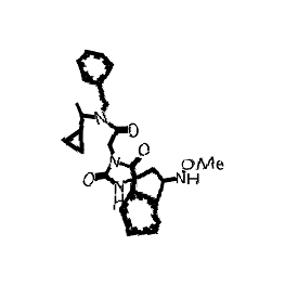 CONC1CC2(NC(=O)N(CC(=O)N(Cc3ccccc3)C(C)C3CC3)C2=O)c2ccccc21